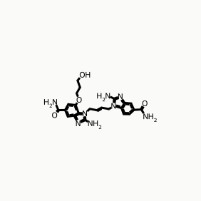 NC(=O)c1ccc2c(c1)nc(N)n2CC=CCn1c(N)nc2cc(C(N)=O)cc(OCCCO)c21